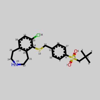 CC(C)(C)CS(=O)(=O)c1ccc(CSc2c(Cl)ccc3c2CCNCC3)cc1